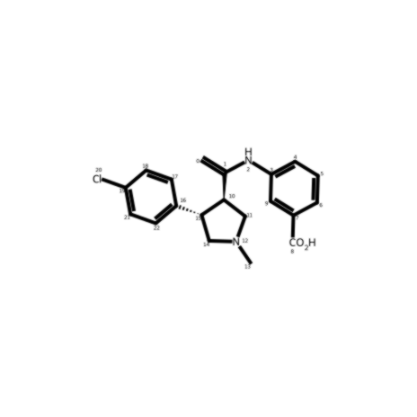 C=C(Nc1cccc(C(=O)O)c1)[C@H]1CN(C)C[C@@H]1c1ccc(Cl)cc1